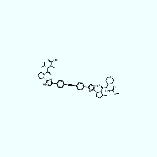 COC(=O)N[C@H](C(=O)N1[C@@H](C)CC[C@H]1c1nc(-c2ccc(C#Cc3ccc(-c4c[nH]c([C@@H]5CC[C@H](C)N5C(=O)[C@H](C(C)C)N(C)C(=O)O)n4)cc3)cc2)c[nH]1)C1CCOCC1